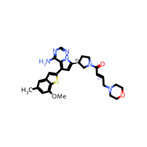 COc1cc(C)cc2cc(-c3cc([C@H]4CCN(C(=O)/C=C/CN5CCOCC5)C4)n4ncnc(N)c34)sc12